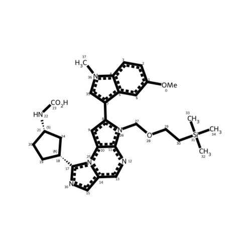 COc1ccc2c(c1)c(-c1cc3c(ncc4cnc([C@@H]5CC[C@H](NC(=O)O)C5)n43)n1COCC[Si](C)(C)C)cn2C